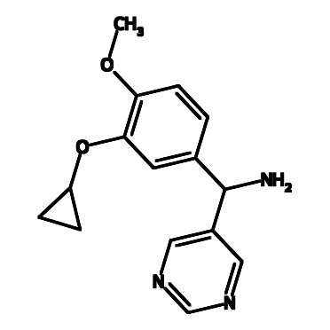 COc1ccc(C(N)c2cncnc2)cc1OC1CC1